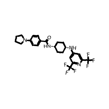 O=C(N[C@H]1CC[C@@H](Nc2cc(C(F)(F)F)nc(C(F)(F)F)c2)CC1)c1ccc(N2CCCC2)cc1